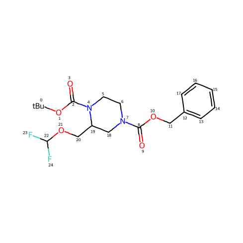 CC(C)(C)OC(=O)N1CCN(C(=O)OCc2ccccc2)CC1COC(F)F